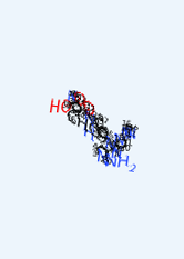 Nc1ncccc1-c1nc2ccc(-n3cccn3)nc2n1-c1ccc2c(c1)CC[C@@H]2NC(=O)c1cc(C=O)c(O)c2ncoc12